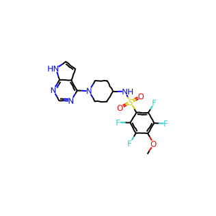 COc1c(F)c(F)c(S(=O)(=O)NC2CCN(c3ncnc4[nH]ccc34)CC2)c(F)c1F